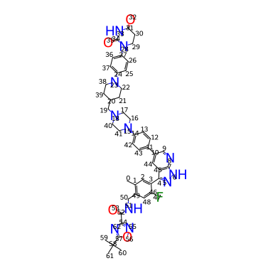 Cc1cc(-c2n[nH]c3ncc(-c4ccc(N5CCN(CC6CCN(c7ccc(N8CCC(=O)NC8=O)cc7)CC6)CC5)cc4)cc23)c(F)cc1CNC(=O)c1noc(C(C)(C)C)n1